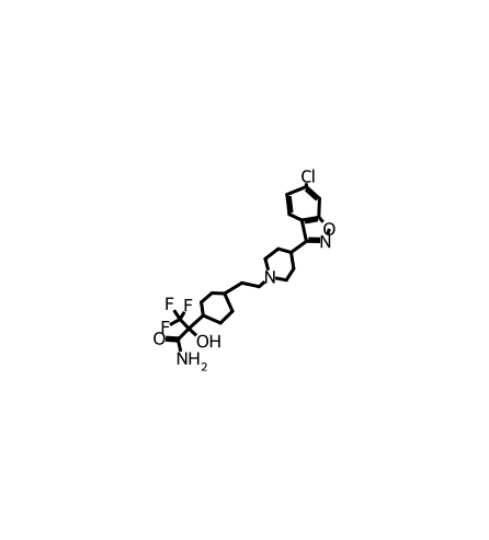 NC(=O)C(O)(C1CCC(CCN2CCC(c3noc4cc(Cl)ccc34)CC2)CC1)C(F)(F)F